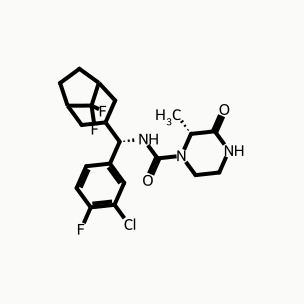 C[C@@H]1C(=O)NCCN1C(=O)N[C@H](c1ccc(F)c(Cl)c1)C1CC2CCC(C1)C2(F)F